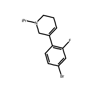 CC(C)N1CCC=C(c2ccc(Br)cc2F)C1